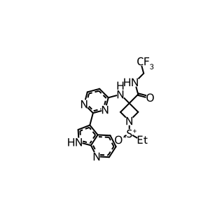 CC[S+]([O-])N1CC(Nc2ccnc(-c3c[nH]c4ncccc34)n2)(C(=O)NCC(F)(F)F)C1